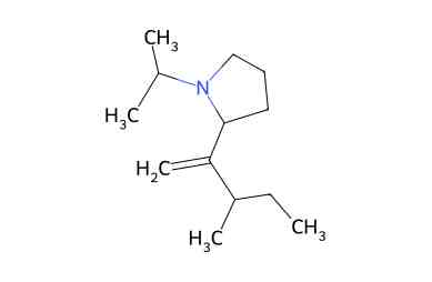 C=C(C(C)CC)C1CCCN1C(C)C